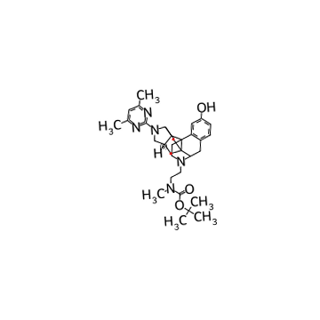 Cc1cc(C)nc(N2C[C@H]3CC45CCC2C3C42CCN(CCN(C)C(=O)OC(C)(C)C)C5Cc3ccc(O)cc32)n1